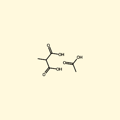 CC(=O)O.CC(C(=O)O)C(=O)O